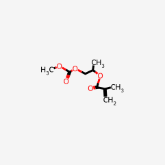 C=C(C)C(=O)OC(C)COC(=O)OC